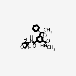 CNC(=O)c1cc(C(=O)N[C@H]2[C@@H]3COC[C@@H]32)cc2c1O[C@@H](C)[C@@H]2c1ccccc1